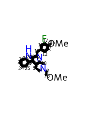 COCCN1CCc2c(nc(Cc3ccc(OC)c(F)c3)c3[nH]c4ccccc4c23)C1